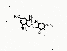 Nc1cc(C(F)(F)F)cc(N)c1COCc1c(N)cc(C(F)(F)F)cc1N